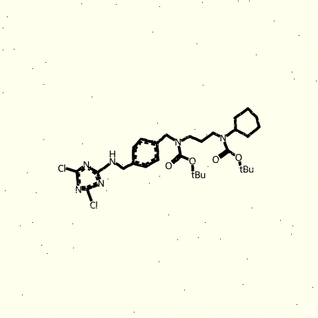 CC(C)(C)OC(=O)N(CCCN(C(=O)OC(C)(C)C)C1CCCCC1)Cc1ccc(CNc2nc(Cl)nc(Cl)n2)cc1